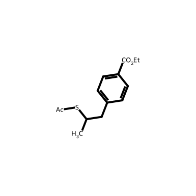 CCOC(=O)c1ccc(CC(C)SC(C)=O)cc1